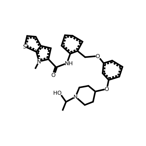 CC(O)N1CCC(Oc2cccc(OCc3ccccc3NC(=O)c3cc4ccsc4n3C)c2)CC1